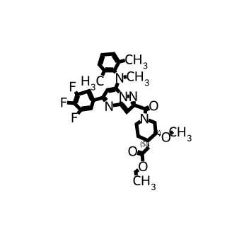 CCOC(=O)C[C@@H]1CCN(C(=O)c2cc3nc(-c4cc(F)c(F)c(F)c4)cc(N(C)c4c(C)cccc4C)n3n2)C[C@@H]1OC